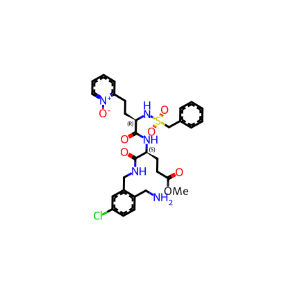 COC(=O)CC[C@H](NC(=O)[C@@H](CCc1cccc[n+]1[O-])NS(=O)(=O)Cc1ccccc1)C(=O)NCc1cc(Cl)ccc1CN